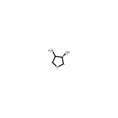 NC1COC[C@@H]1O